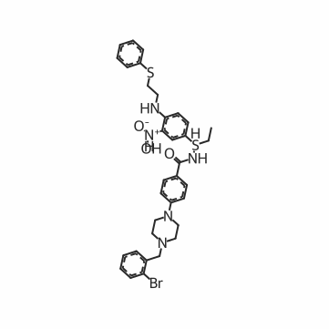 CC[SH](NC(=O)c1ccc(N2CCN(Cc3ccccc3Br)CC2)cc1)c1ccc(NCCSc2ccccc2)c([NH+]([O-])O)c1